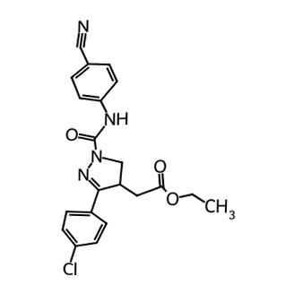 CCOC(=O)CC1CN(C(=O)Nc2ccc(C#N)cc2)N=C1c1ccc(Cl)cc1